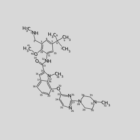 CNCc1cc(C(C)(C)C)cc(NC(=O)c2cc3cccc(Oc4ccnc(N5CCN(C)CC5)n4)c3n2C)c1OC